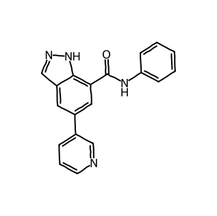 O=C(Nc1ccccc1)c1cc(-c2cccnc2)cc2cn[nH]c12